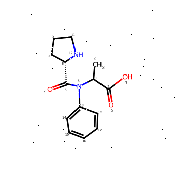 CC(C(=O)O)N(C(=O)[C@@H]1CCCN1)c1ccccc1